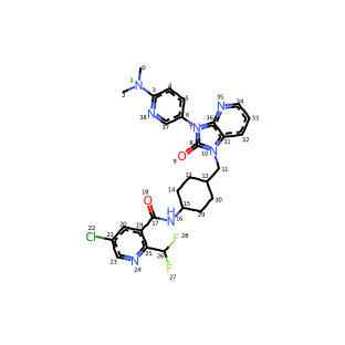 CN(C)c1ccc(-n2c(=O)n(CC3CCC(NC(=O)c4cc(Cl)cnc4C(F)F)CC3)c3cccnc32)cn1